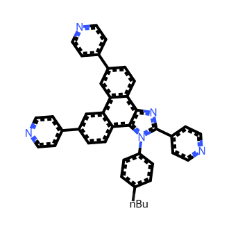 CCCCc1ccc(-n2c(-c3ccncc3)nc3c4ccc(-c5ccncc5)cc4c4cc(-c5ccncc5)ccc4c32)cc1